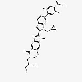 Cc1cc(C(N)=O)c(F)cc1-c1ccc2cc(-c3nc4cc5c(cc4n3C)CCN(C[C@H](N)CF)C5=O)n(CC3CC3)c2n1